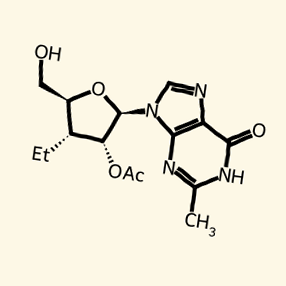 CC[C@H]1[C@@H](OC(C)=O)[C@H](n2cnc3c(=O)[nH]c(C)nc32)O[C@@H]1CO